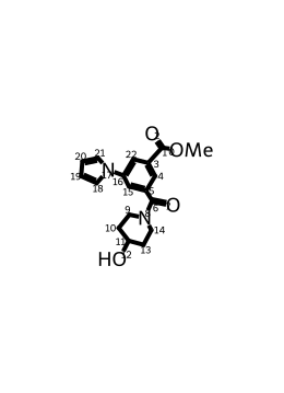 COC(=O)c1cc(C(=O)N2CCC(O)CC2)cc(-n2cccc2)c1